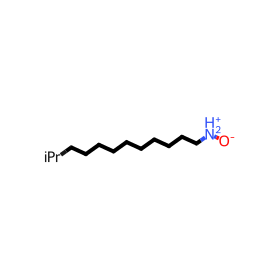 CC(C)CCCCCCCCCC[NH2+][O-]